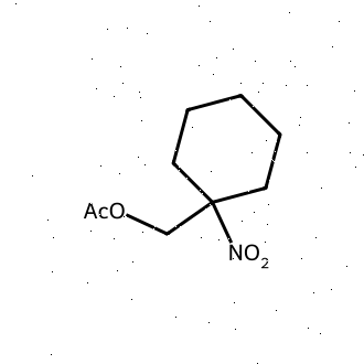 CC(=O)OCC1([N+](=O)[O-])CCCCC1